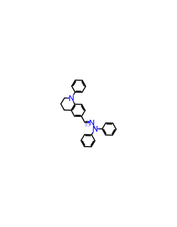 C(=N\N(c1ccccc1)c1ccccc1)/c1ccc2c(c1)CCCN2c1ccccc1